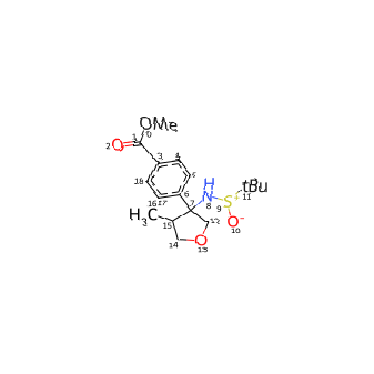 COC(=O)c1ccc(C2(N[S+]([O-])C(C)(C)C)COCC2C)cc1